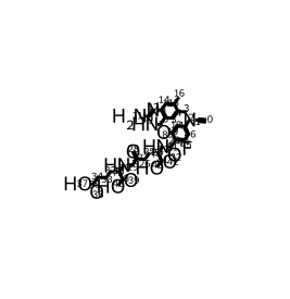 C#CN(Cc1cc2c(=O)[nH]c(N)nc2cc1C)c1ccc(C(=O)N[C@@H](CCC(=O)CN[C@H](CCCC(=O)O)C(=O)O)C(=O)O)c(F)c1